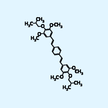 COc1cc(C=Cc2ccc(C=Cc3cc(OC)c(OCC(C)C)c(OC)c3)cc2)cc(OC)c1OCC(C)C